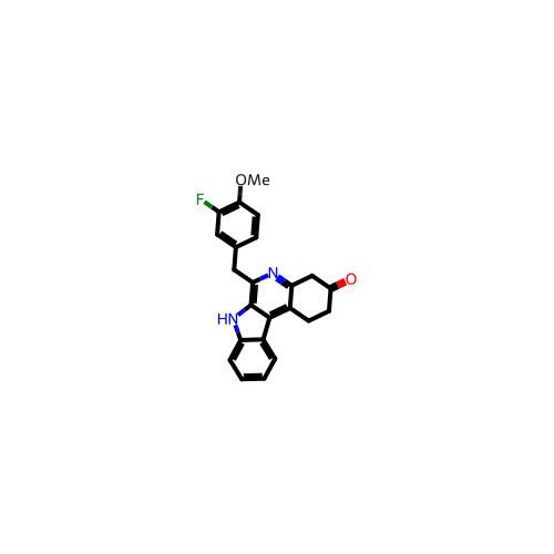 COc1ccc(Cc2nc3c(c4c2[nH]c2ccccc24)CCC(=O)C3)cc1F